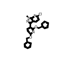 Cn1nc(-c2ccc(OCc3ccccc3)nc2OCc2ccccc2)c2ccc(Cl)nc21